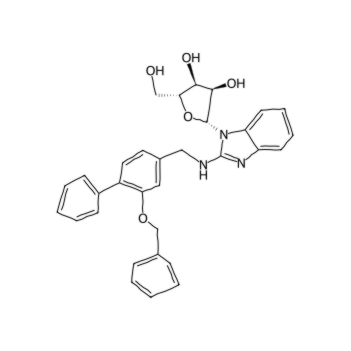 OC[C@H]1O[C@@H](n2c(NCc3ccc(-c4ccccc4)c(OCc4ccccc4)c3)nc3ccccc32)[C@H](O)[C@@H]1O